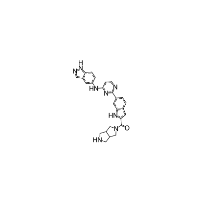 O=C(c1cc2ccc(-c3nccc(Nc4ccc5[nH]ncc5c4)n3)cc2[nH]1)N1CC2CNCC2C1